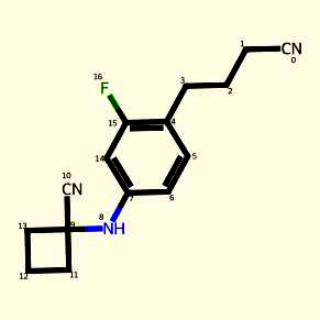 N#CCCCc1ccc(NC2(C#N)CCC2)cc1F